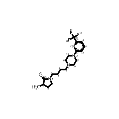 CC1CCN(CCCCN2CCN(c3cccc(C(F)(F)F)n3)CC2)C1=O